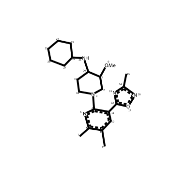 COC1CN(c2nc(C)c(C)cc2-c2nc(C)no2)CCC1NC1CCCCC1